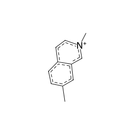 Cc1ccc2cc[n+](C)cc2c1